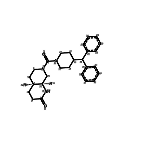 O=C1CC[C@H]2CCN(C(=O)N3CCC(C(c4ccccc4)c4ccccc4)CC3)C[C@H]2N1